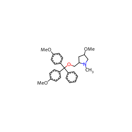 COc1ccc(C(OCC2CC(OC)CN2C)(c2ccccc2)c2ccc(OC)cc2)cc1